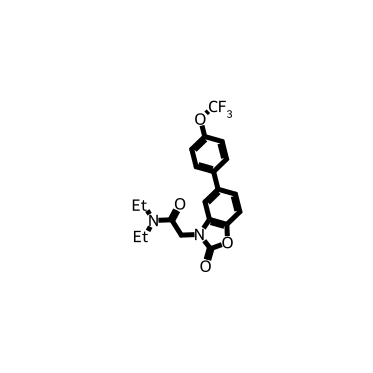 CCN(CC)C(=O)Cn1c(=O)oc2ccc(-c3ccc(OC(F)(F)F)cc3)cc21